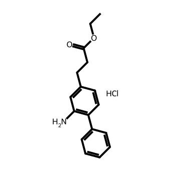 CCOC(=O)CCc1ccc(-c2ccccc2)c(N)c1.Cl